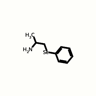 CC(N)C[Se]c1ccccc1